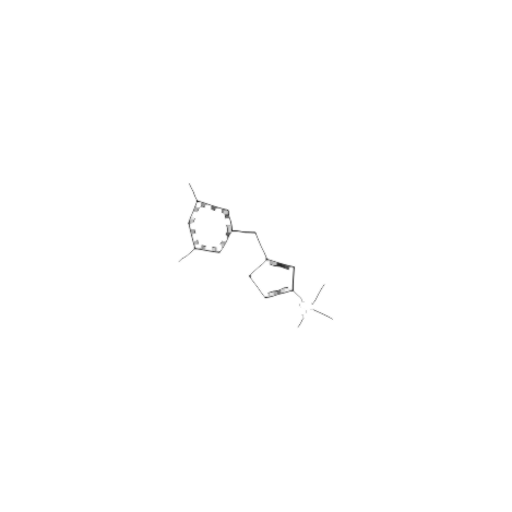 Cc1cc(C)cc(CC2=CC([Si](C)(C)C)=CC2)c1